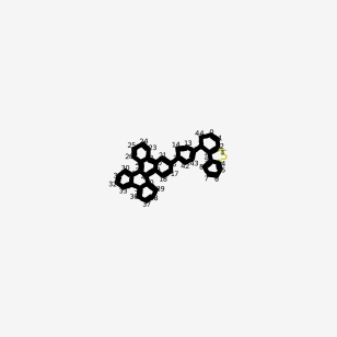 C1=Cc2sc3ccccc3c2C(c2ccc(-c3ccc4c(c3)c3ccccc3c3c5ccccc5c5ccccc5c43)cc2)C1